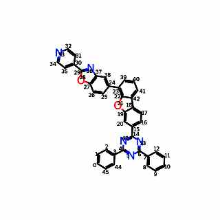 c1ccc(-c2nc(-c3ccccc3)nc(-c3ccc4c(c3)oc3c(-c5ccc6oc(-c7ccncc7)nc6c5)cccc34)n2)cc1